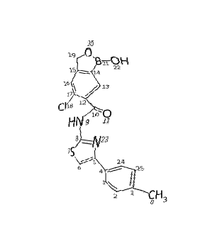 Cc1ccc(-c2csc(NC(=O)c3cc4c(cc3Cl)COB4O)n2)cc1